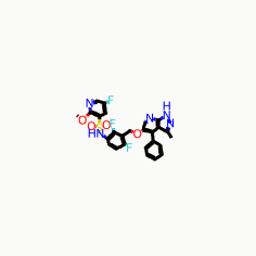 COc1ncc(F)cc1S(=O)(=O)Nc1ccc(F)c(COc2cnc3[nH]nc(C)c3c2-c2ccccc2)c1F